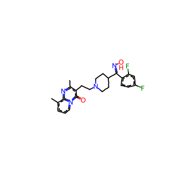 Cc1nc2c(C)cccn2c(=O)c1CCN1CCC(C(=NO)c2ccc(F)cc2F)CC1